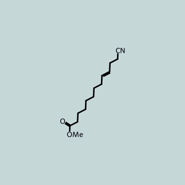 COC(=O)CCCCCCC/C=C/CCC#N